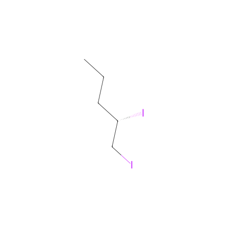 CCC[C@H](I)CI